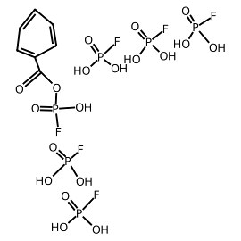 O=C(OP(=O)(O)F)c1ccccc1.O=P(O)(O)F.O=P(O)(O)F.O=P(O)(O)F.O=P(O)(O)F.O=P(O)(O)F